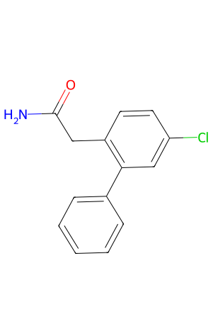 NC(=O)Cc1ccc(Cl)cc1-c1ccccc1